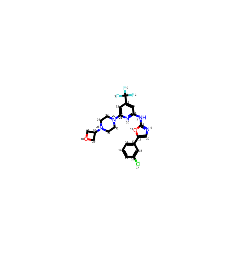 FC(F)(F)c1cc(Nc2ncc(-c3cccc(Cl)c3)o2)nc(N2CCN(C3COC3)CC2)c1